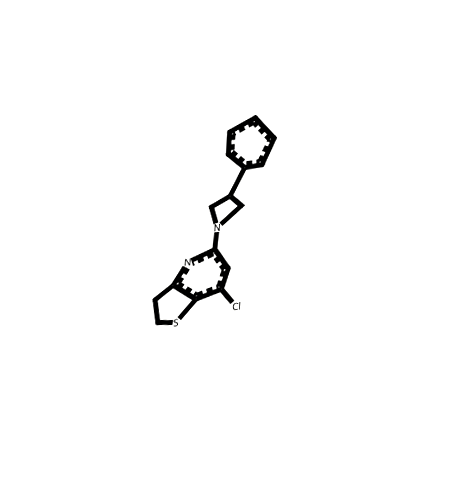 Clc1cc(N2CC(c3ccccc3)C2)nc2c1SCC2